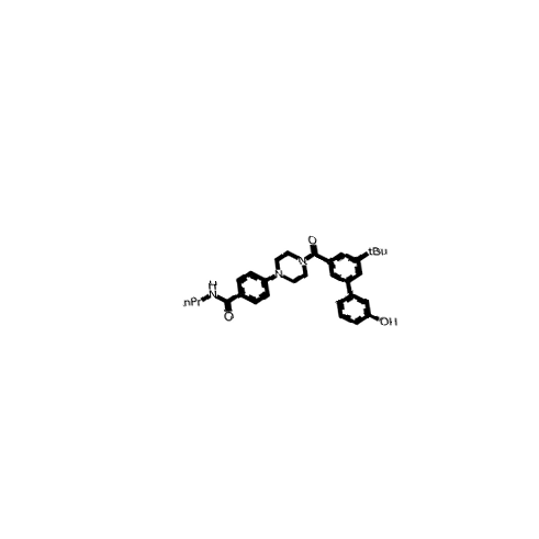 CCCNC(=O)c1ccc(N2CCN(C(=O)c3cc(-c4cccc(O)c4)cc(C(C)(C)C)c3)CC2)cc1